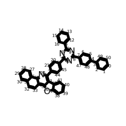 c1ccc(-c2ccc(-c3nc(-c4ccccc4)nc(-c4ccc(-c5nc6c7ccccc7ccc6c6oc7ccccc7c56)cc4)n3)cc2)cc1